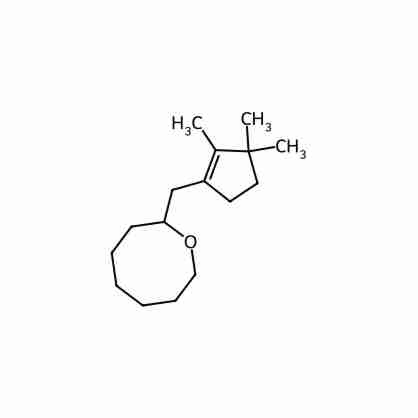 CC1=C(CC2CCCCCCO2)CCC1(C)C